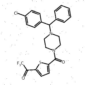 O=C(c1ccc(C(=O)C(F)(F)F)s1)N1CCN(C(c2ccccc2)c2ccc(Cl)cc2)CC1